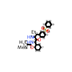 CC[C@@H](C(=N)C(=O)[C@@H](NC(=O)[C@H](C)NC)C1CCCCC1)c1cccc(S(=O)(=O)c2ccccc2)c1